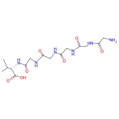 CC(C)[C@H](NC(=O)CNC(=O)CNC(=O)CNC(=O)CNC(=O)CN)C(=O)O